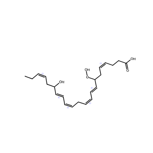 CC/C=C\CC(O)/C=C/C=C\C/C=C\C=C\C(C/C=C\CCC(=O)O)OO